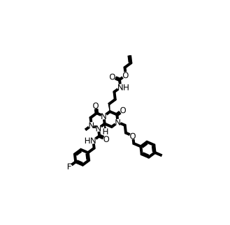 C=CCOC(=O)NCCC[C@H]1C(=O)N(CCOCc2ccc(C)cc2)C[C@H]2N1C(=O)CN(C)N2C(=O)NCc1ccc(F)cc1